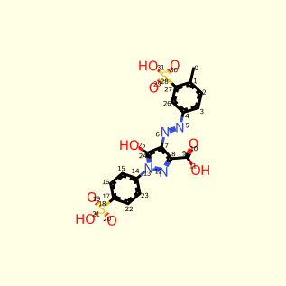 Cc1ccc(N=Nc2c(C(=O)O)nn(-c3ccc(S(=O)(=O)O)cc3)c2O)cc1S(=O)(=O)O